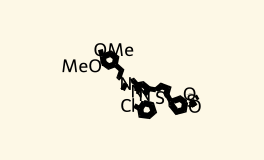 COc1ccc(CCN(C)Cc2cc(-c3ccc(-c4cccc(S(C)(=O)=O)c4)s3)n(-c3ccccc3Cl)n2)cc1OC